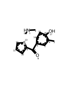 CNC.Cc1cc(C(=O)c2cccs2)ccc1O